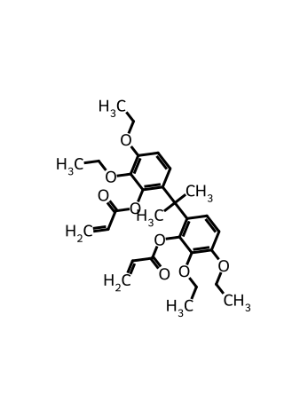 C=CC(=O)Oc1c(C(C)(C)c2ccc(OCC)c(OCC)c2OC(=O)C=C)ccc(OCC)c1OCC